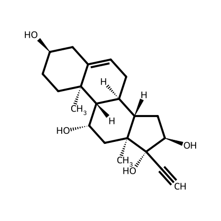 C#C[C@]1(O)[C@H](O)C[C@H]2[C@@H]3CC=C4C[C@H](O)CC[C@]4(C)[C@H]3[C@@H](O)C[C@@]21C